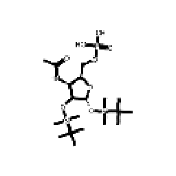 CC(=O)N[C@@H]1C(O[Si](C)(C)C(C)(C)C)[C@@H](O[Si](C)(C)C(C)(C)C)O[C@@H]1COP(=O)(O)O